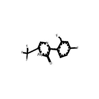 O=c1[nH]c(C(F)(F)F)cnc1-c1ccc(F)cc1F